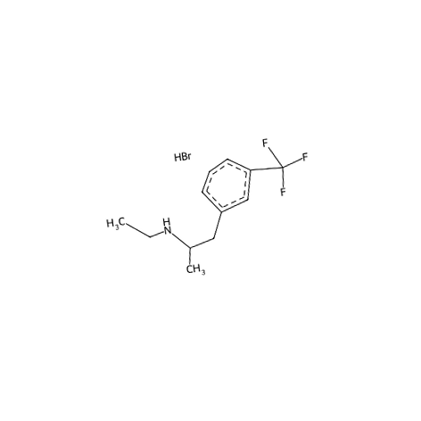 Br.CCNC(C)Cc1cccc(C(F)(F)F)c1